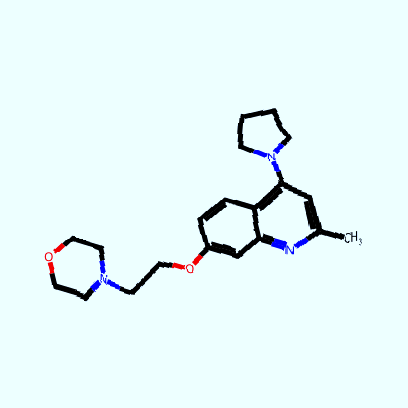 Cc1cc(N2CCCC2)c2ccc(OCCN3CCOCC3)cc2n1